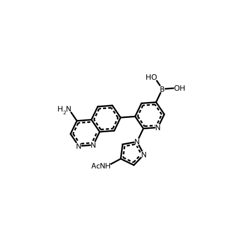 CC(=O)Nc1cnn(-c2ncc(B(O)O)cc2-c2ccc3c(N)cnnc3c2)c1